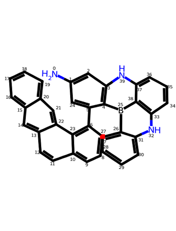 Nc1cc2c(c(-c3cccc4ccc5cc6ccccc6cc5c34)c1)B1c3ccccc3Nc3cccc(c31)N2